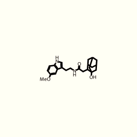 COc1ccc2[nH]cc(CCNC(=O)CC3C4CC5CC(C4)CC3(O)C5)c2c1